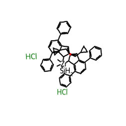 Cl.Cl.[CH3][Zr]([CH3])(=[SiH2])([CH]1C(CC2CC2)=Cc2c(-c3ccccc3)ccc(-c3ccccc3)c21)[CH]1C(CC2CC2)=Cc2c(-c3ccccc3)ccc(-c3ccccc3)c21